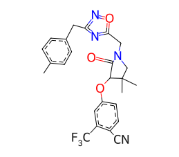 Cc1ccc(Cc2noc(CN3CC(C)(C)C(Oc4ccc(C#N)c(C(F)(F)F)c4)C3=O)n2)cc1